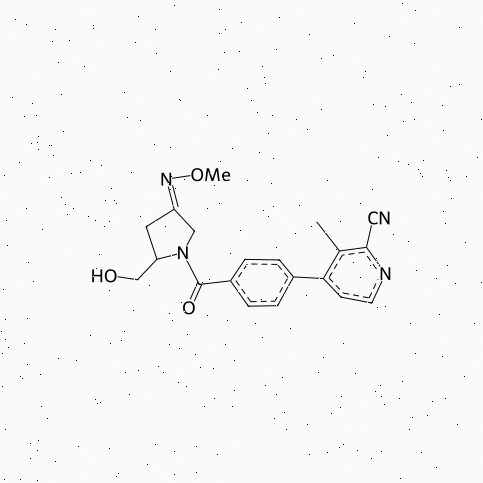 CO/N=C1/CC(CO)N(C(=O)c2ccc(-c3ccnc(C#N)c3C)cc2)C1